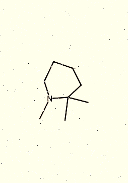 CN1CC[CH]CC1(C)C